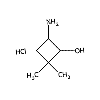 CC1(C)CC(N)C1O.Cl